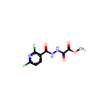 COC(=O)C(=O)NNC(=O)c1ccc(F)nc1F